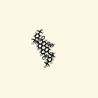 CC(C)(C)c1ccc(C(C)(C)C)c(N2C(=O)c3ccc4c5ccc6c7c(cc([N+](=O)[O-])c(c8ccc(c3c48)C2=O)c75)C(=O)N(c2cc(C(C)(C)C)ccc2C(C)(C)C)C6=O)c1